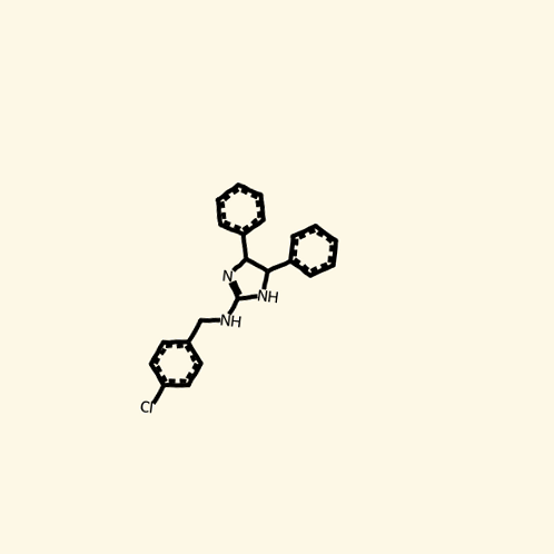 Clc1ccc(CNC2=NC(c3ccccc3)C(c3ccccc3)N2)cc1